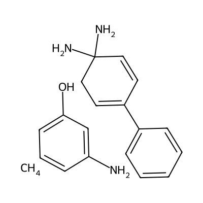 C.NC1(N)C=CC(c2ccccc2)=CC1.Nc1cccc(O)c1